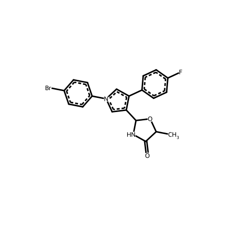 CC1OC(c2cn(-c3ccc(Br)cc3)cc2-c2ccc(F)cc2)NC1=O